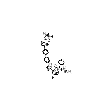 COC(=O)N[C@H](C(=O)N1[C@@H]2C[C@@H]2C[C@H]1c1ncc(-c2ccc(-c3ccc(-c4cnc([C@@H]5C[C@H]6C[C@H]6N5)[nH]4)cc3)cc2)[nH]1)C1CCOCC1